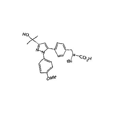 COc1ccc(-n2nc(C(C)(C)O)cc2-c2ccc(CN(C(=O)O)C(C)(C)C)cc2)cc1